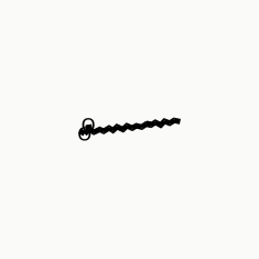 CCCCCC/C=C/CCCCCCCCCCCC(=O)OC